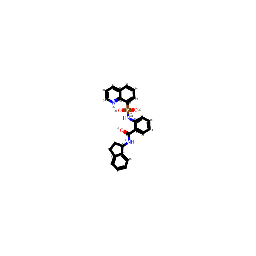 O=C(NC1CCc2ccccc21)c1ccccc1NS(=O)(=O)c1cccc2cccnc12